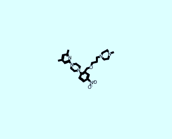 Cc1cc(C)nc(N2CCN(c3ccc([N+](=O)[O-])cc3COCCCN3CCN(C)CC3)CC2)c1